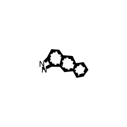 c1ccc2cc3c4c(ccc3cc2c1)=NN=4